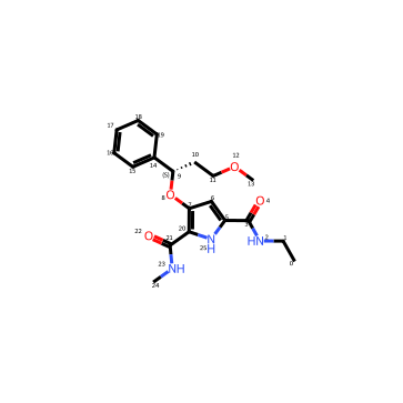 CCNC(=O)c1cc(O[C@@H](CCOC)c2ccccc2)c(C(=O)NC)[nH]1